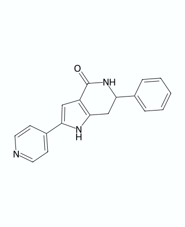 O=C1NC(c2ccccc2)Cc2[nH]c(-c3ccncc3)cc21